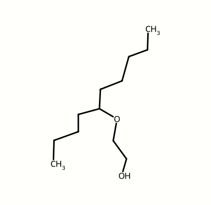 CCCCCC(CCCC)OCCO